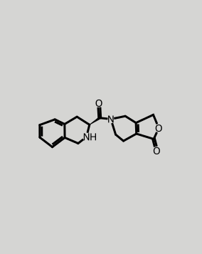 O=C1OCC2=C1CCN(C(=O)[C@@H]1Cc3ccccc3CN1)C2